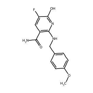 COc1ccc(CNc2nc(O)c(F)cc2C(N)=O)cc1